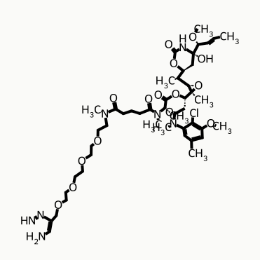 C/C=C/[C@@H](OC)[C@@]1(O)C[C@@H]([C@@H](C)[C@@H]2O[C@@]2(C)[C@H](CC(=O)N(C)c2cc(C)cc(OC)c2Cl)OC(=O)[C@H](C)N(C)C(=O)CCCC(=O)N(C)CCOCCOCCOCCOC/C(=C/N)N=N)OC(=O)N1